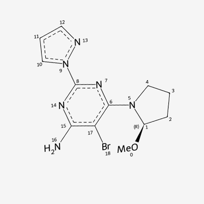 CO[C@@H]1CCCN1c1nc(-n2cccn2)nc(N)c1Br